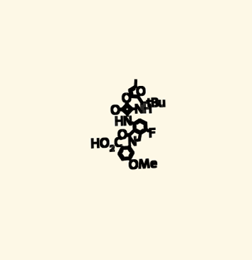 COc1ccc(C(=O)O)c(N2Cc3c(F)ccc(Nc4c(N[C@@H](c5ccc(C)o5)C(C)(C)C)c(=O)c4=O)c3C2=O)c1